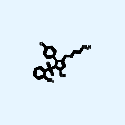 Cc1ccccc1S(=O)(=O)N1[C@@H](c2ccc(Cl)cc2)C(CO/C=C/C(=O)O)=C[C@H]1C(C)(C)C